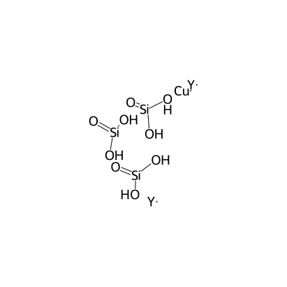 O=[Si](O)O.O=[Si](O)O.O=[Si](O)O.[Cu].[Y].[Y]